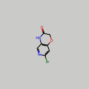 O=C1COc2cc(Br)ncc2N1